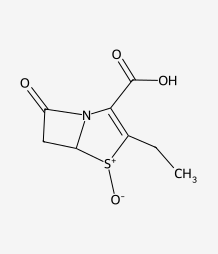 CCC1=C(C(=O)O)N2C(=O)CC2[S+]1[O-]